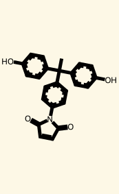 CC(c1ccc(O)cc1)(c1ccc(O)cc1)c1ccc(N2C(=O)C=CC2=O)cc1